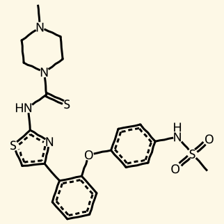 CN1CCN(C(=S)Nc2nc(-c3ccccc3Oc3ccc(NS(C)(=O)=O)cc3)cs2)CC1